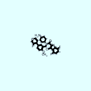 COc1ccc(-c2ccncc2F)cc1CN(C(=O)c1sc2c(F)ccc(F)c2c1Cl)[C@H]1CC[C@H](N)CC1